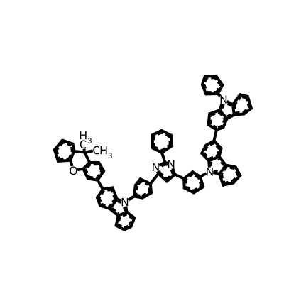 CC1(C)c2ccccc2Oc2cc(-c3ccc4c5ccccc5n(-c5ccc(-c6cc(-c7cccc(-n8c9ccccc9c9cc(-c%10ccc%11c(c%10)c%10ccccc%10n%11-c%10ccccc%10)ccc98)c7)nc(-c7ccccc7)n6)cc5)c4c3)ccc21